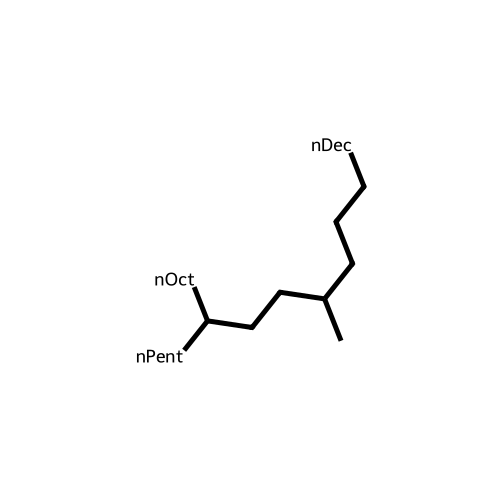 CCCCCCCCCCCCCC(C)CCC(CCCCC)CCCCCCCC